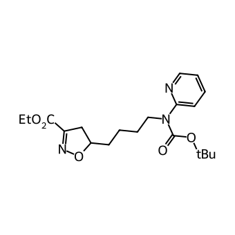 CCOC(=O)C1=NOC(CCCCN(C(=O)OC(C)(C)C)c2ccccn2)C1